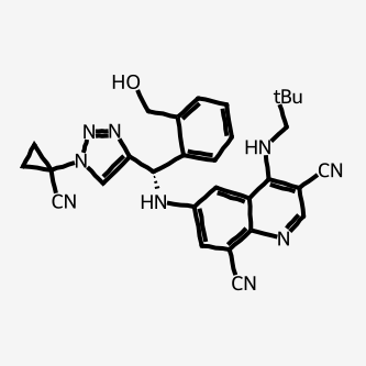 CC(C)(C)CNc1c(C#N)cnc2c(C#N)cc(N[C@H](c3cn(C4(C#N)CC4)nn3)c3ccccc3CO)cc12